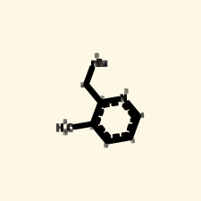 CCCC[CH]c1ncccc1C